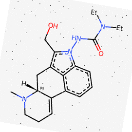 CCN(CC)C(=O)Nn1c(CO)c2c3c(cccc31)C1=CCCN(C)[C@@H]1C2